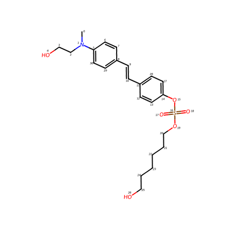 CN(CCO)c1ccc(C=Cc2ccc(OS(=O)(=O)OCCCCCCO)cc2)cc1